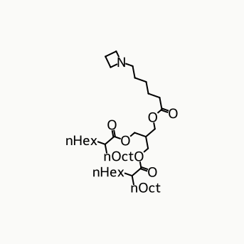 CCCCCCCCC(CCCCCC)C(=O)OCC(COC(=O)CCCCCN1CCC1)COC(=O)C(CCCCCC)CCCCCCCC